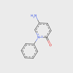 Nc1ccc(=O)n(-c2ccccc2)c1